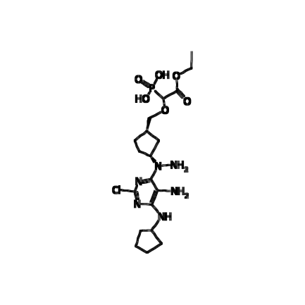 CCOC(=O)C(OC[C@@H]1CC[C@H](N(N)c2nc(Cl)nc(NC3CCCC3)c2N)C1)P(=O)(O)O